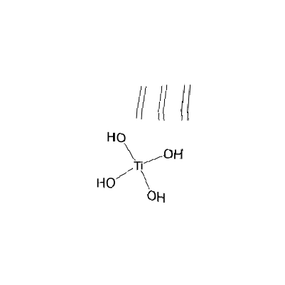 C=C.C=C.C=C.[OH][Ti]([OH])([OH])[OH]